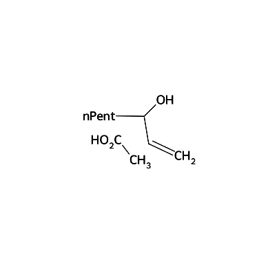 C=CC(O)CCCCC.CC(=O)O